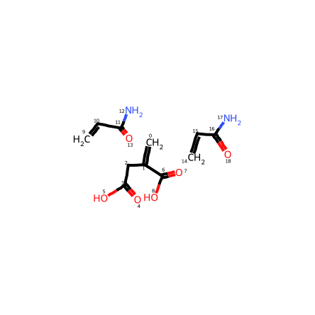 C=C(CC(=O)O)C(=O)O.C=CC(N)=O.C=CC(N)=O